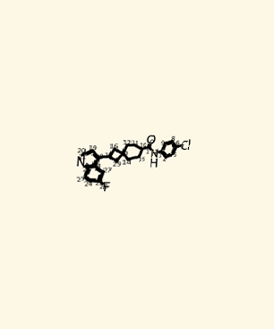 O=C(Nc1ccc(Cl)cc1)C1CCC2(CC1)CC(c1ccnc3ccc(F)cc13)C2